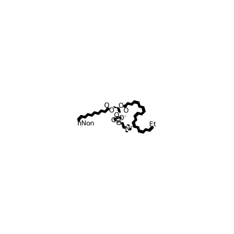 CC/C=C\C/C=C\C/C=C\C/C=C\C/C=C\C/C=C\CCC(=O)O[C@H](COC(=O)CCCCCCC/C=C\CCCCCCCCC)COP(=O)([O-])OCC[N+](C)(C)C